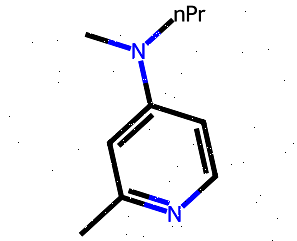 CCCN(C)c1ccnc(C)c1